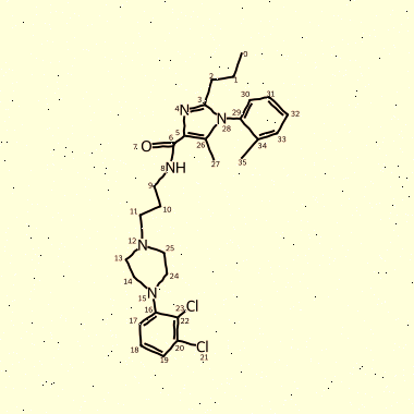 CCCc1nc(C(=O)NCCCN2CCN(c3cccc(Cl)c3Cl)CC2)c(C)n1-c1ccccc1C